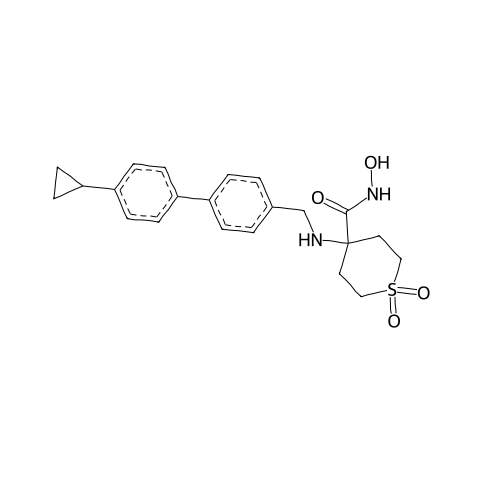 O=C(NO)C1(NCc2ccc(-c3ccc(C4CC4)cc3)cc2)CCS(=O)(=O)CC1